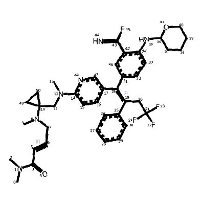 CN(C)C(=O)/C=C/CN(C)C1(CN(C)c2ccc(/C(=C(/CC(F)(F)F)c3ccccc3)c3ccc(NC4CCCCO4)c(C(=N)F)c3)cn2)CC1